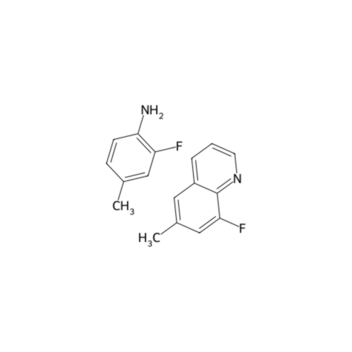 Cc1cc(F)c2ncccc2c1.Cc1ccc(N)c(F)c1